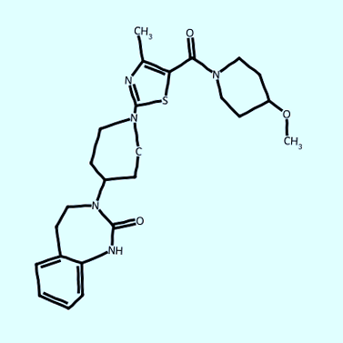 COC1CCN(C(=O)c2sc(N3CCC(N4CCc5ccccc5NC4=O)CC3)nc2C)CC1